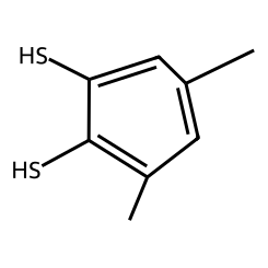 Cc1cc(C)c(S)c(S)c1